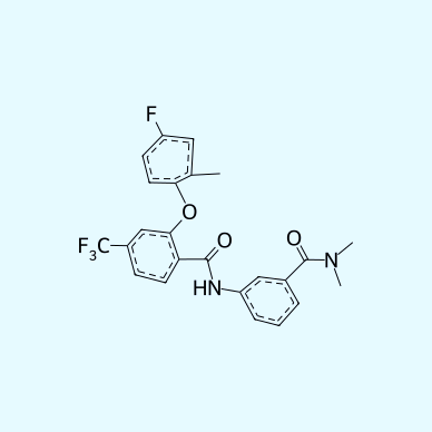 Cc1cc(F)ccc1Oc1cc(C(F)(F)F)ccc1C(=O)Nc1cccc(C(=O)N(C)C)c1